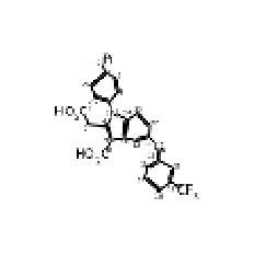 CC(C)c1ccc(-n2c(CC(=O)O)c(C(=O)O)c3cc(Oc4cccc(C(F)(F)F)c4)ccc32)cc1